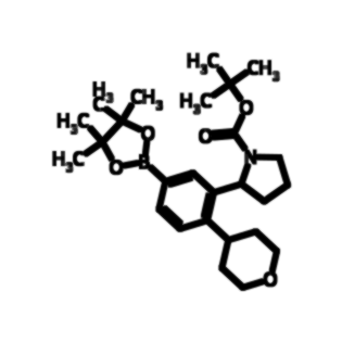 CC(C)(C)OC(=O)N1CCCC1c1cc(B2OC(C)(C)C(C)(C)O2)ccc1C1CCOCC1